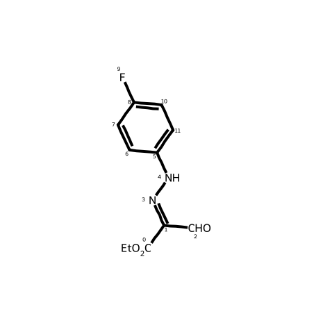 CCOC(=O)C(C=O)=NNc1ccc(F)cc1